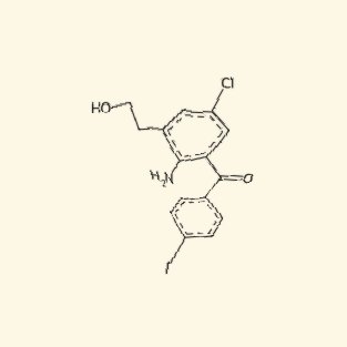 Nc1c(CCO)cc(Cl)cc1C(=O)c1ccc(I)cc1